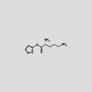 NCCC[C@@H](N)C(=O)Oc1cccs1